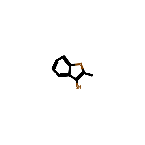 Cc1sc2ccccc2c1S